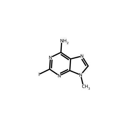 Cn1cnc2c(N)nc(I)nc21